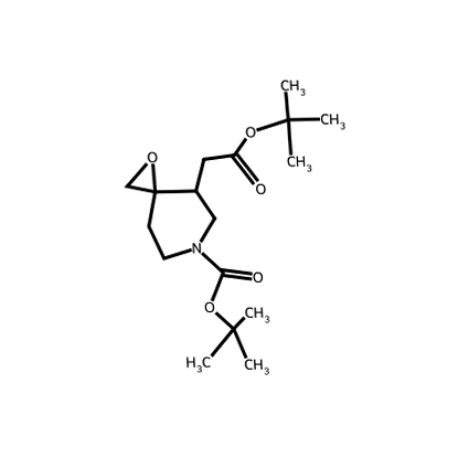 CC(C)(C)OC(=O)CC1CN(C(=O)OC(C)(C)C)CCC12CO2